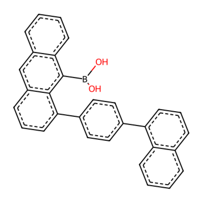 OB(O)c1c2ccccc2cc2cccc(-c3ccc(-c4cccc5ccccc45)cc3)c12